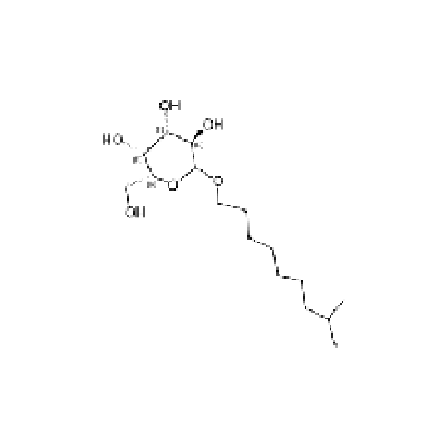 CC(C)CCCCCCCOC1O[C@H](CO)[C@H](O)[C@H](O)[C@H]1O